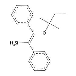 CCC(C)(C)OC(=C([SiH3])c1ccccc1)c1ccccc1